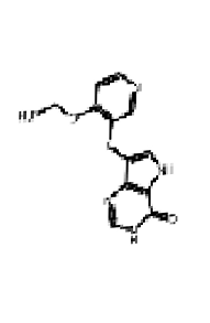 O=c1[nH]cnc2c(Sc3cnccc3OCP)c[nH]c12